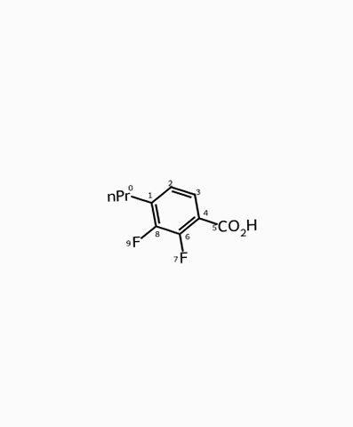 CCCc1ccc(C(=O)O)c(F)c1F